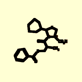 CC(CSC(=O)c1ccccc1)C(=O)N1C(C2CCCCC2)SC[C@H]1C(=O)O